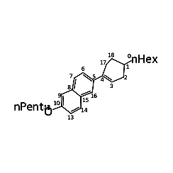 CCCCCCC1CC=C(c2ccc3cc(OCCCCC)ccc3c2)CC1